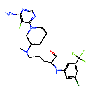 CN(CCCC(C=O)Nc1cc(Cl)cc(C(F)(F)F)c1)C1CCCN(c2ncnc(N)c2F)C1